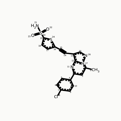 Cc1cc(-c2ccc(Cl)cc2)nc2c(C#Cc3ccc(S(N)(=O)=O)s3)cnn12